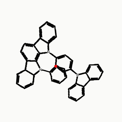 C1=CC2c3ccc4c5ccccc5n(-c5ccc(-n6c7ccccc7c7ccccc76)cc5)c4c3N(c3ccccc3)C2C=C1